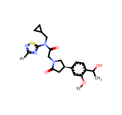 CCOc1cc([C@H]2CC(=O)N(CC(=O)N(CC3CC3)c3nc(C(C)C)ns3)C2)ccc1C(C)O